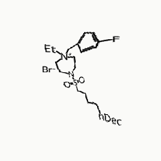 CCCCCCCCCCCCCCS(=O)(=O)N1CC[N+](CC)(Cc2ccc(F)cc2)CC1.[Br-]